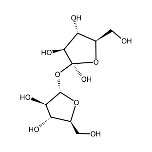 OC[C@@H]1O[C@@H](O[C@]2(O)O[C@H](CO)[C@@H](O)[C@@H]2O)[C@H](O)[C@H]1O